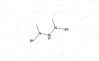 CC(C)N(C)NN(C)C(C)C